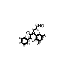 Cc1cc(C)c2c(c1)N(CCC=O)C(=O)C(c1ccccc1)O2